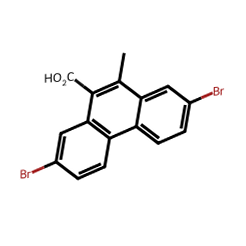 Cc1c(C(=O)O)c2cc(Br)ccc2c2ccc(Br)cc12